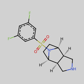 O=S(=O)(c1cc(F)cc(F)c1)N1[C@@H]2CC[C@H]1[C@H]1CNC[C@H]12